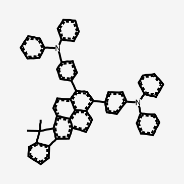 CC1(C)c2ccccc2-c2cc3ccc4c(-c5ccc(N(c6ccccc6)c6ccccc6)cc5)cc(-c5ccc(N(c6ccccc6)c6ccccc6)cc5)c5ccc(c21)c3c45